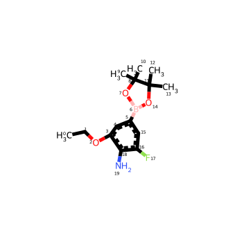 CCOc1cc(B2OC(C)(C)C(C)(C)O2)cc(F)c1N